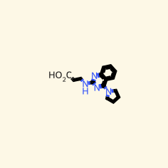 O=C(O)CCNc1nc(N2CCCC2)c2ccccc2n1